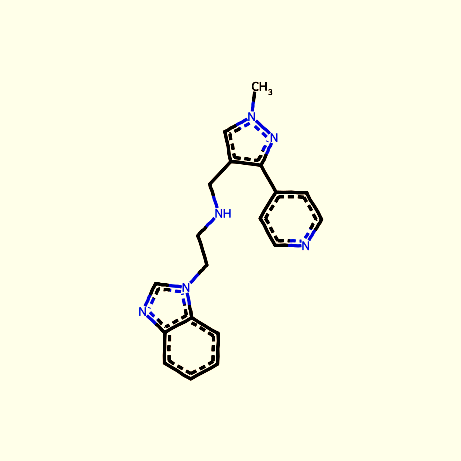 Cn1cc(CNCCn2cnc3ccccc32)c(-c2ccncc2)n1